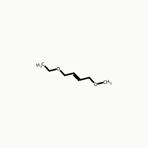 CCOC/C=C/COC